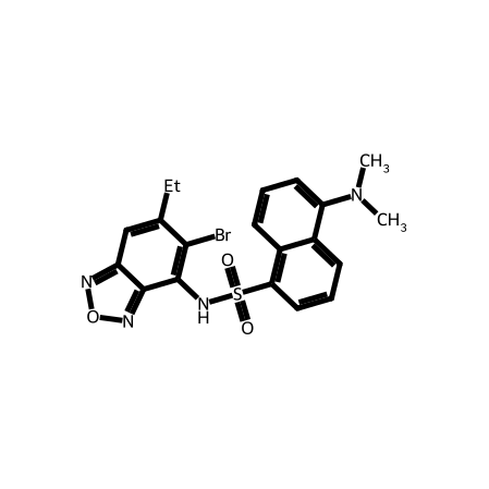 CCc1cc2nonc2c(NS(=O)(=O)c2cccc3c(N(C)C)cccc23)c1Br